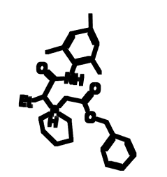 CCC(C(=O)Nc1c(C)cc(C)cc1C)[PH]1(CC(=O)OCc2ccccc2)CCCCC1